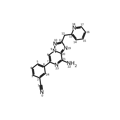 N#Cc1cccc(-c2cn3nc(Cc4ccccn4)nc3c(N)n2)c1